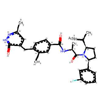 CC(=O)NC(C)[C@H]1CC[C@@H](c2cccc(F)c2)N1C(=O)C(C)NC(=O)c1ccc(Cc2cc(C)n[nH]c2=O)c(C)c1